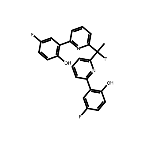 CC(F)(c1cccc(-c2cc(F)ccc2O)n1)c1cccc(-c2cc(F)ccc2O)n1